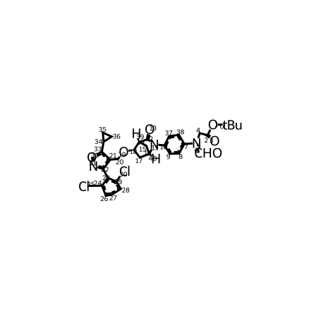 CC(C)(C)OC(=O)CN(C=O)c1ccc(N2C(=O)[C@@H]3C[C@H]2C[C@H]3OCc2c(-c3c(Cl)cccc3Cl)noc2C2CC2)cc1